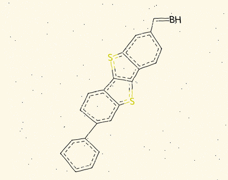 B=Cc1ccc2c(c1)sc1c3ccc(-c4ccccc4)cc3sc21